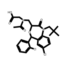 CC(=O)N(CC(=O)O)CC1OC(c2ccccc2Cl)c2cc(Cl)ccc2N(CC(C)(C)C)C1=O